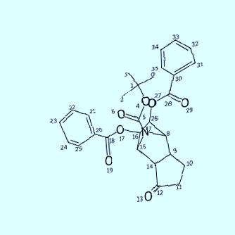 CC(C)(C)OC(=O)N1C2C3CCC(=O)C3C1C(OC(=O)c1ccccc1)C2OC(=O)c1ccccc1